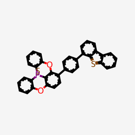 S=P12c3ccccc3Oc3ccc(-c4ccc(-c5cccc6c5sc5ccccc56)cc4)c(c31)Oc1ccccc12